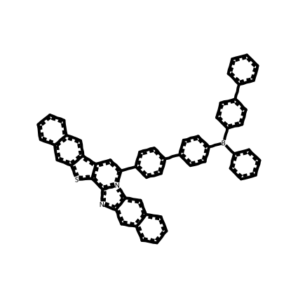 c1ccc(B(c2ccc(-c3ccccc3)cc2)c2ccc(-c3ccc(-c4cc5c6cc7ccccc7cc6sc5c5nc6cc7ccccc7cc6n45)cc3)cc2)cc1